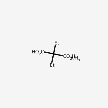 CCC(CC)(C(=O)O)C(=O)O.[AlH3]